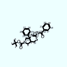 CC(C)(C)OC(=O)N1CC2CSC(NC(=O)c3ccccc3)=NC2(c2ccccc2)C1